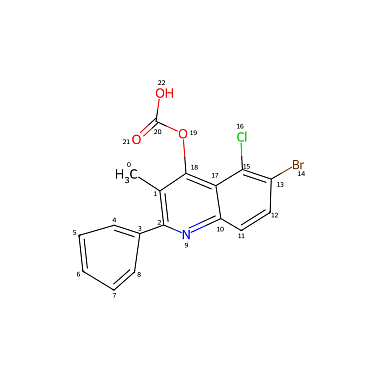 Cc1c(-c2ccccc2)nc2ccc(Br)c(Cl)c2c1OC(=O)O